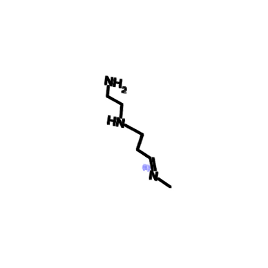 C/N=C/CCNCCN